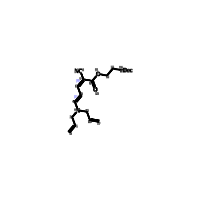 C=CCN(/C=C/C=C(/C#N)C(=O)OCCCCCCCCCCCC)CC=C